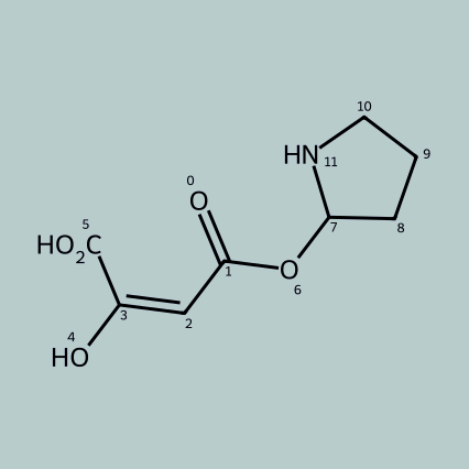 O=C(/C=C(/O)C(=O)O)OC1CCCN1